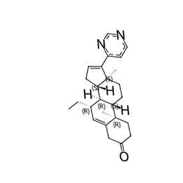 CC[C@H]1C=C2CC(=O)CC[C@]2(C)[C@H]2CC[C@]3(C)C(c4ccncn4)=CC[C@H]3[C@H]12